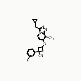 N#CC1(c2cccc(F)c2)CC(Oc2ccn3c(CC4CC4)nnc3c2C(F)(F)F)C1